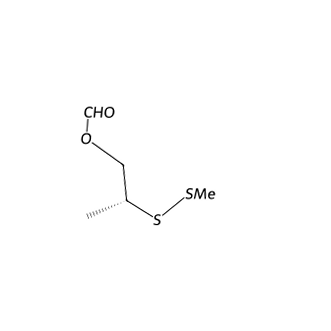 CSS[C@H](C)COC=O